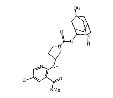 CNC(=O)c1cc(Cl)cnc1NC1CCN(C(=O)OC2C3CC4C[C@@H]2CC(O)(C4)C3)C1